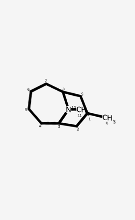 CC1CC2CCCCC(C1)N2C